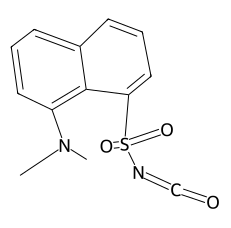 CN(C)c1cccc2cccc(S(=O)(=O)N=C=O)c12